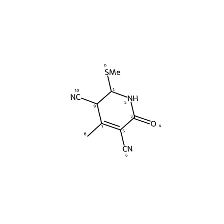 CSC1NC(=O)C(C#N)=C(C)C1C#N